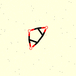 O1C2OC2C2OC12